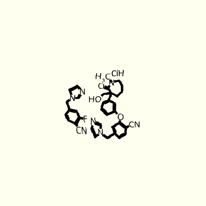 CN1CCCCC(CO)(c2cccc(Oc3cc(Cn4ccnc4)ccc3C#N)c2)C1=O.Cl.N#Cc1ccc(Cn2ccnc2)cc1F